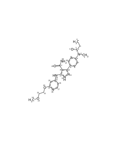 CC[S+]([O-])N(C)c1ccc(-c2n[nH]c(Nc3ccnc(OCCOC)c3)c2C(N)=O)cc1